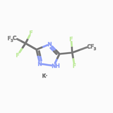 FC(F)(F)C(F)(F)c1n[nH]c(C(F)(F)C(F)(F)F)n1.[K]